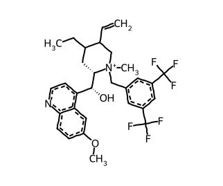 C=CC1C[N+](C)(Cc2cc(C(F)(F)F)cc(C(F)(F)F)c2)[C@H]([C@H](O)c2ccnc3ccc(OC)cc23)CC1CC